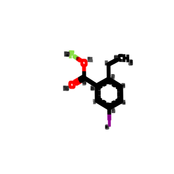 CCc1ccc(I)cc1C(=O)OF